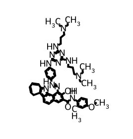 CCN(CC)CCCNc1nc(NCCCN(CC)CC)nc(Nc2ccc(N=Nc3c(O)c(C(=O)Nc4ccc(OC)cc4C)cc4ccc5c6c([nH]c5c34)C=CC=CC6)cc2)n1